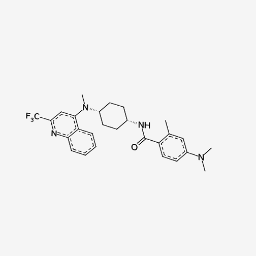 Cc1cc(N(C)C)ccc1C(=O)N[C@H]1CC[C@@H](N(C)c2cc(C(F)(F)F)nc3ccccc23)CC1